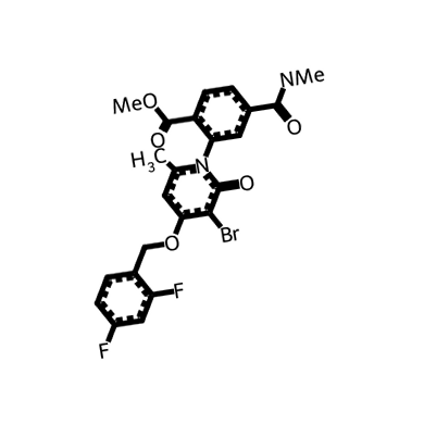 CNC(=O)c1ccc(C(=O)OC)c(-n2c(C)cc(OCc3ccc(F)cc3F)c(Br)c2=O)c1